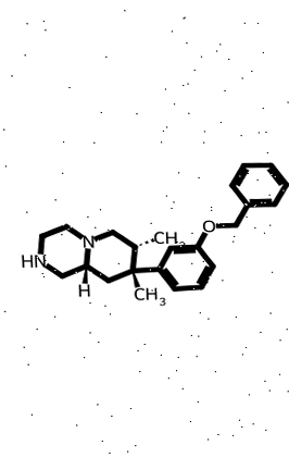 C[C@H]1CN2CCNC[C@H]2C[C@@]1(C)c1cccc(OCc2ccccc2)c1